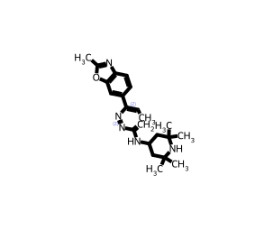 C=C(/N=N\C(=C/C)c1ccc2nc(C)oc2c1)NC1CC(C)(C)NC(C)(C)C1